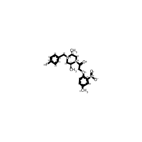 Cc1ccc(OCC(=O)N2C[C@@H](C)N(Cc3ccc(F)cc3)C[C@@H]2C)c([N+](=O)[O-])c1